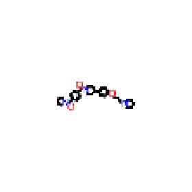 O=C(c1ccc(C(=O)N2CCC(c3ccc(OCCCN4CCCCC4)cc3)CC2)cc1)N1CCCC1